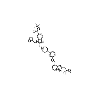 COC(=O)Cc1cc2c(COc3cccc(C4CCN(Cc5nc6ccc(C(=O)OC(C)(C)C)cc6n5CC5CCO5)CC4)n3)cccn2n1